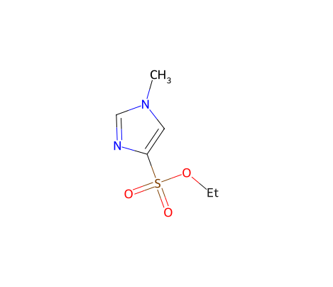 CCOS(=O)(=O)c1cn(C)cn1